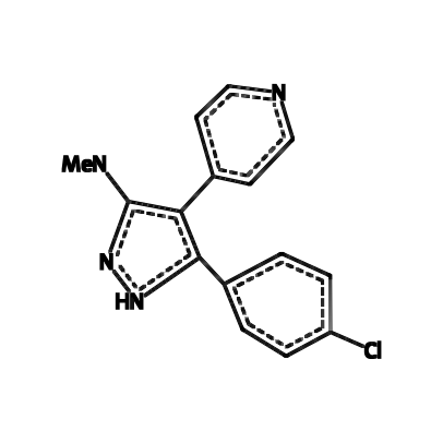 CNc1n[nH]c(-c2ccc(Cl)cc2)c1-c1ccncc1